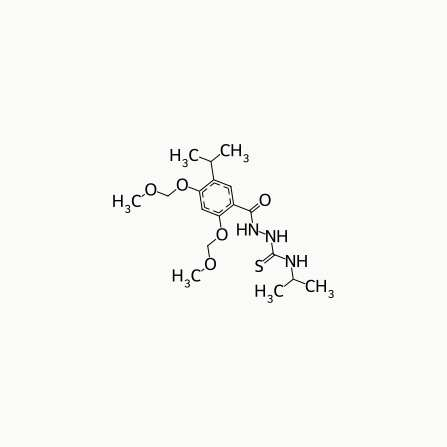 COCOc1cc(OCOC)c(C(C)C)cc1C(=O)NNC(=S)NC(C)C